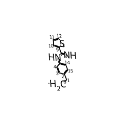 [CH2]Cc1ccc(NC(=N)c2cccs2)cc1